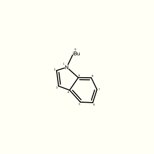 CCC(C)n1ccc2ccccc21